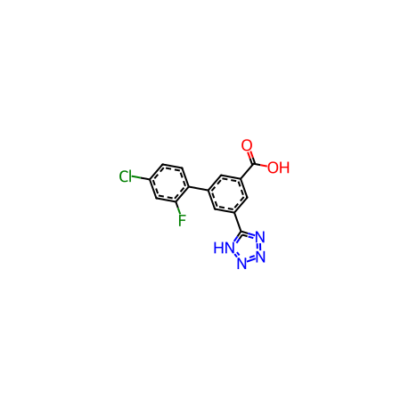 O=C(O)c1cc(-c2nnn[nH]2)cc(-c2ccc(Cl)cc2F)c1